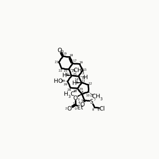 CCC(=O)O[C@]1(C(=O)SCCl)[C@@H](C)C[C@H]2[C@@H]3CCC4=CC(=O)CC[C@]4(C)[C@H]3[C@@H](O)C[C@@]21C